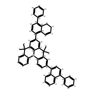 CC1(C)c2ccccc2N2c3ccc(-c4ccc(-c5ccccc5)c5ccccc45)cc3C(C)(C)c3cc(-c4ccc(-c5ccccc5)c5c4C=CCC5)cc1c32